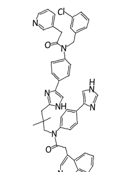 CC(C)(Cc1nc(-c2ccc(N(Cc3cccc(Cl)c3)C(=O)Cc3cccnc3)cc2)c[nH]1)CN(C(=O)Cc1cncc2ccccc12)c1ccc(-c2c[nH]cn2)cc1